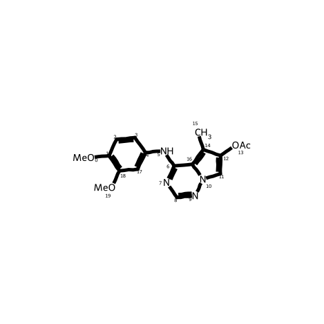 COc1ccc(Nc2ncnn3cc(OC(C)=O)c(C)c23)cc1OC